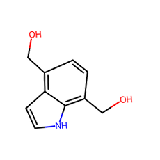 OCc1ccc(CO)c2[nH]ccc12